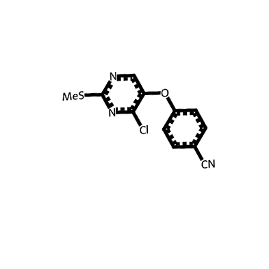 CSc1ncc(Oc2ccc(C#N)cc2)c(Cl)n1